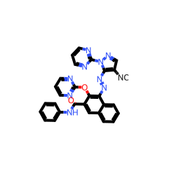 [C-]#[N+]c1cnn(-c2ncccn2)c1/N=N/c1c(Oc2ncccn2)c(C(=O)Nc2ccccc2)cc2ccccc12